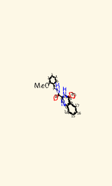 COc1ccccc1CNC(=O)c1nc2ccccc2c(=O)[nH]1